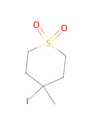 CC1(I)CCS(=O)(=O)CC1